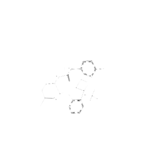 CC1CCC(NC(=O)Nc2ccc(Cl)cc2)C(Oc2ccccc2[C@@]2(C(F)(F)F)CCO2)N1